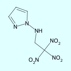 O=[N+]([O-])C(CNn1cccn1)([N+](=O)[O-])[N+](=O)[O-]